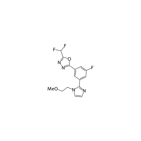 COCCn1ccnc1-c1cc(F)cc(-c2nnc(C(F)F)o2)c1